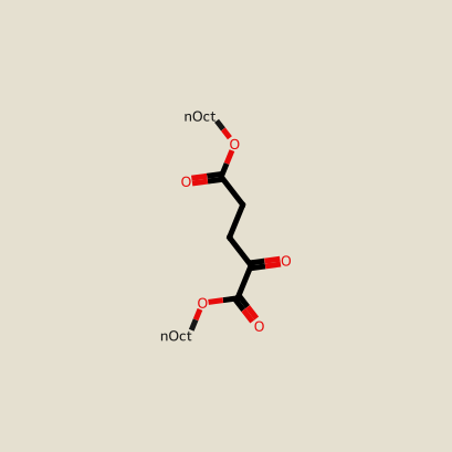 CCCCCCCCOC(=O)CCC(=O)C(=O)OCCCCCCCC